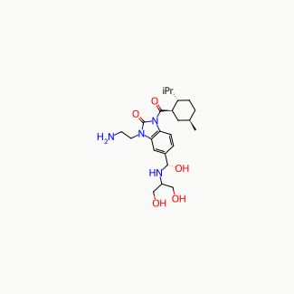 CC(C)[C@@H]1CC[C@@H](C)C[C@H]1C(=O)n1c(=O)n(CCN)c2cc([C@H](O)NC(CO)CO)ccc21